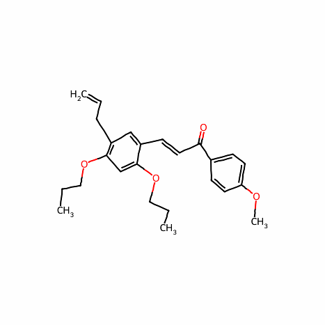 C=CCc1cc(C=CC(=O)c2ccc(OC)cc2)c(OCCC)cc1OCCC